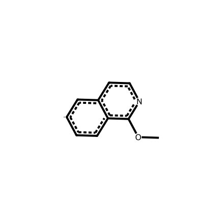 COc1nccc2c[c]ccc12